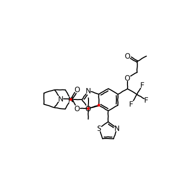 CC(=O)COC(c1cc(-c2nccs2)c2oc(N3CC4CCC(C3)N4C(=O)OC(C)(C)C)nc2c1)C(F)(F)F